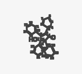 O=C1C(c2ccccc2)=C(c2ccccc2)[C@](O)(c2ccccc2)[C@@H]1c1ccccc1